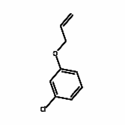 C=CCOc1c[c]cc(Cl)c1